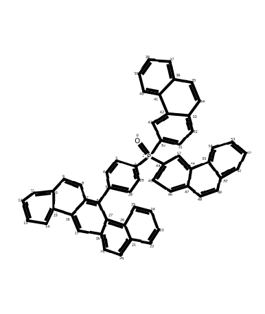 O=P(c1ccc(-c2c3ccc4ccccc4c3cc3ccc4ccccc4c23)cc1)(c1ccc2ccc3ccccc3c2c1)c1ccc2ccc3ccccc3c2c1